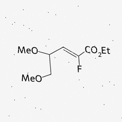 CCOC(=O)C(F)=CC(COC)OC